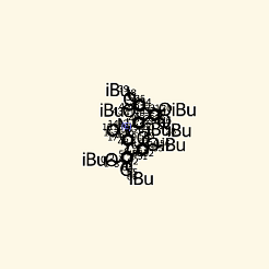 CCC(C)COCc1cc(-c2ccc(/C(=N\C3CCCCC3)c3ccc(-c4cc(OCC(C)CC)c(OCC(C)C)cc4-c4ccc(OCC(C)CC)c(OCC(C)CC)c4)cc3)cc2)c(-c2ccc(OCC(C)CC)c(OCC(C)CC)c2)cc1OCC(C)CC